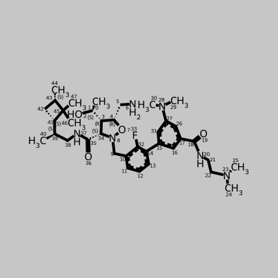 C[C@H](O)[C@@H]1[C@H](CN)ON(Cc2cccc(-c3cc(C(=O)NCCN(C)C)cc(N(C)C)c3)c2F)[C@@H]1C(=O)NC[C@@H](C)[C@@H]1C[C@H](C)C1(C)C